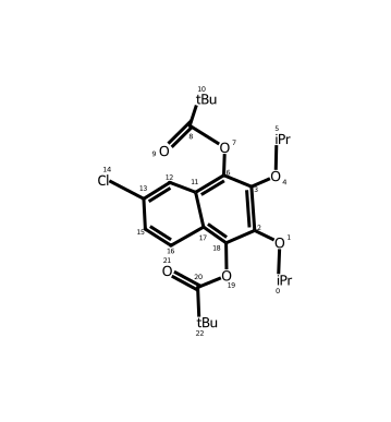 CC(C)Oc1c(OC(C)C)c(OC(=O)C(C)(C)C)c2cc(Cl)ccc2c1OC(=O)C(C)(C)C